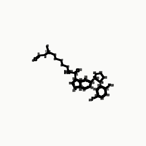 CN(CC=O)CCCCCNC(=O)c1cnn2ccc(N3CCC[C@@H]3c3cc(F)ccc3F)nc12